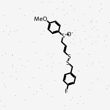 COc1ccc([S+]([O-])C/C=C/SSCc2ccc(F)cc2)cc1